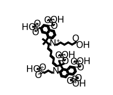 CC1(C)C(/C=C/C=C/C=C2/N(CCCS(=O)(=O)O)c3ccc4c(S(=O)(=O)O)cc(S(=O)(=O)O)cc4c3C2(C)CS(=O)(=O)O)=[N+](CCCCCC(=O)O)c2ccc3c(S(=O)(=O)O)cc(S(=O)(=O)O)cc3c21